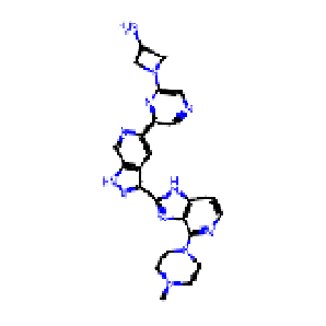 CN1CCN(c2nccc3[nH]c(-c4n[nH]c5cnc(-c6cncc(N7CC(N)C7)n6)cc45)nc23)CC1